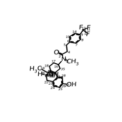 CN(C(=O)CCc1ccc(C(F)(F)F)cc1)C1CC[C@@]2(O)[C@H]3Cc4ccc(O)cc4[C@@]2(CCN3C)C1